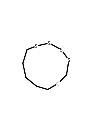 C1CCCSSSSCCC1